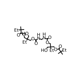 CCC(CO)(COC(=O)NCNC(=O)OCC(CC)(CO)COC(=O)C(C)(C)CC)COC(=O)C(C)(C)CC